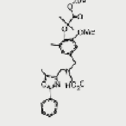 COc1cc(CN(CC(=O)O)Cc2nc(-c3ccccc3)oc2C)cc(C)c1OC(C)(C)C(=O)OC(C)(C)C